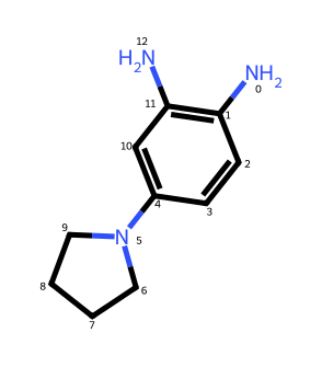 Nc1ccc(N2CCCC2)cc1N